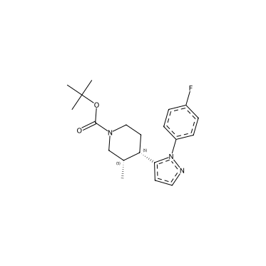 C[C@@H]1CN(C(=O)OC(C)(C)C)CC[C@@H]1c1ccnn1-c1ccc(F)cc1